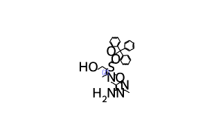 C/C(=C(\CCO)SCOC(=O)C(c1ccccc1)(c1ccccc1)c1ccccc1)N(C=O)Cc1cnc(C)nc1N